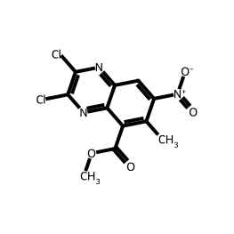 COC(=O)c1c(C)c([N+](=O)[O-])cc2nc(Cl)c(Cl)nc12